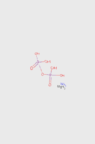 N.O=P(O)(O)OP(=O)(O)O.[MgH2]